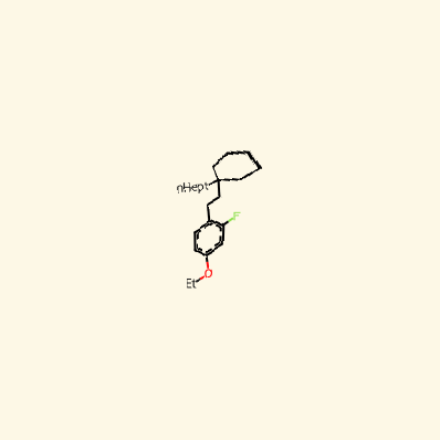 CCCCCCCC1(CCc2ccc(OCC)cc2F)CCCCC1